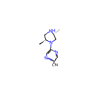 C[C@@H]1CN(c2cnc(C#N)cn2)[C@@H](C)CN1